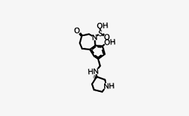 O=C1CCc2cc(CN[C@@H]3CCCNC3)cc(O)c2N(S(=O)O)C1